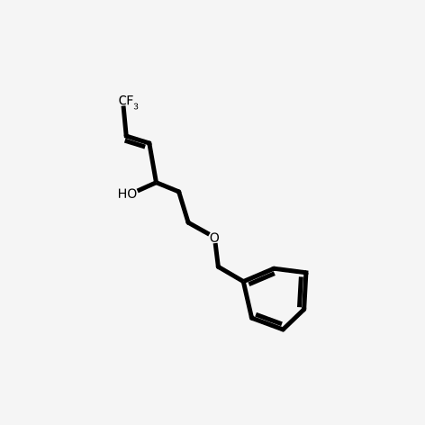 OC(C=CC(F)(F)F)CCOCc1ccccc1